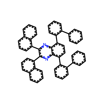 c1ccc(-c2ccccc2-c2ccc(-c3ccccc3-c3ccccc3)c3nc(-c4cccc5ccccc45)c(-c4cccc5ccccc45)nc23)cc1